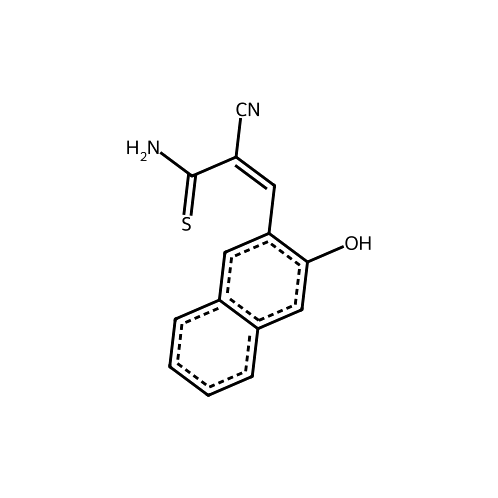 N#C/C(=C/c1cc2ccccc2cc1O)C(N)=S